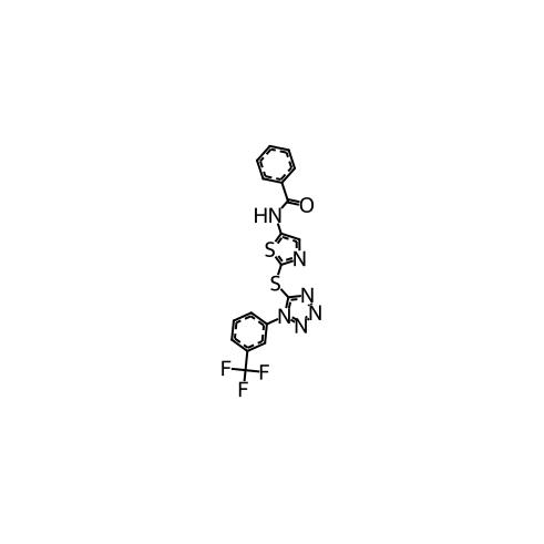 O=C(Nc1cnc(Sc2nnnn2-c2cccc(C(F)(F)F)c2)s1)c1ccccc1